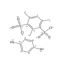 Cc1cc(C)c(S(=O)(=O)Cl)c(C)c1S(=O)(=O)Cl.Sc1ccc(S)cc1